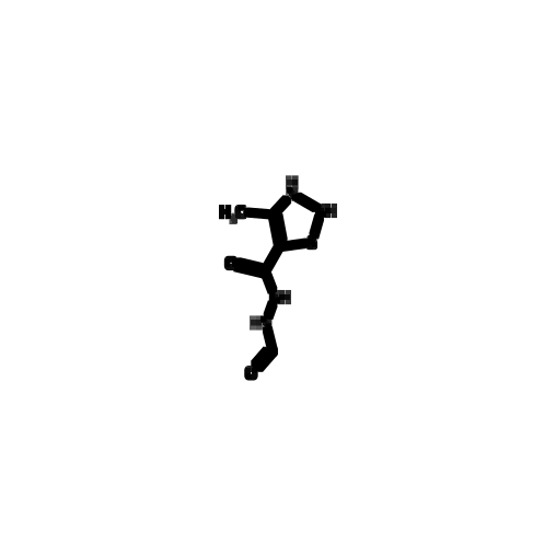 CC1=C(C(=O)NNC=O)SNN1